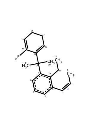 C/C=C\c1cccc(C(C)(C)C2=CCCC=C2F)c1CC